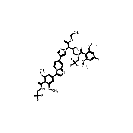 CCOC(=O)C(C(C)CN(CC(F)(F)F)C(=O)c1c(OC)cc(Br)cc1OC)n1cc(-c2ccn3c(-c4cc(OC)c(C(=O)NCC(F)(F)F)c(OC)c4)cnc3c2)cn1